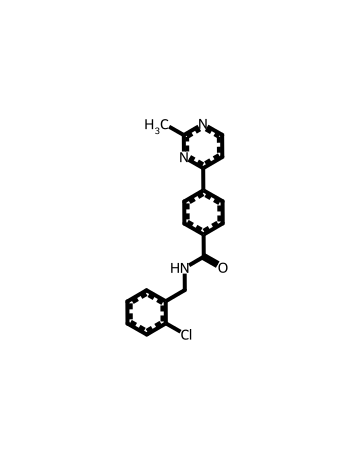 Cc1nccc(-c2ccc(C(=O)NCc3ccccc3Cl)cc2)n1